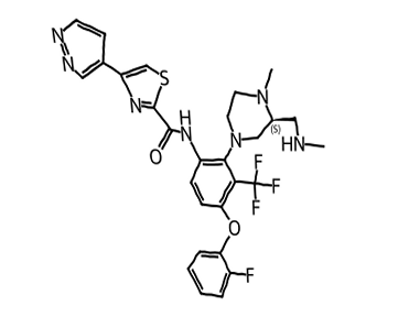 CNC[C@H]1CN(c2c(NC(=O)c3nc(-c4ccnnc4)cs3)ccc(Oc3ccccc3F)c2C(F)(F)F)CCN1C